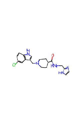 O=C(NCc1ncc[nH]1)C1CCN(Cc2c[nH]c3ccc(Cl)cc23)CC1